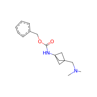 CN(C)CC12CC(NC(=O)OCc3ccccc3)(C1)C2